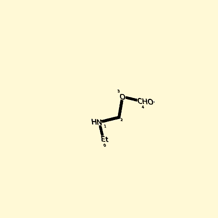 CCNCO[C]=O